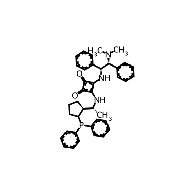 C[C@@H](Nc1c(N[C@@H](c2ccccc2)[C@H](c2ccccc2)N(C)C)c(=O)c1=O)[C@@H]1CCCC1P(c1ccccc1)c1ccccc1